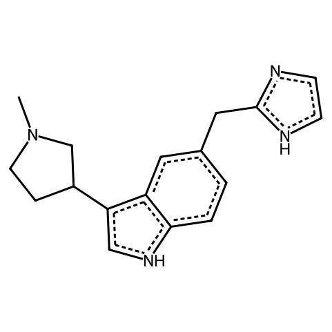 CN1CCC(c2c[nH]c3ccc(Cc4ncc[nH]4)cc23)C1